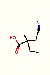 CCC(C)(CC#N)C(=O)O